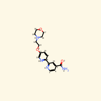 NC(=O)c1ccnc(-c2ccc(OCCN3CCOCC3)cn2)c1